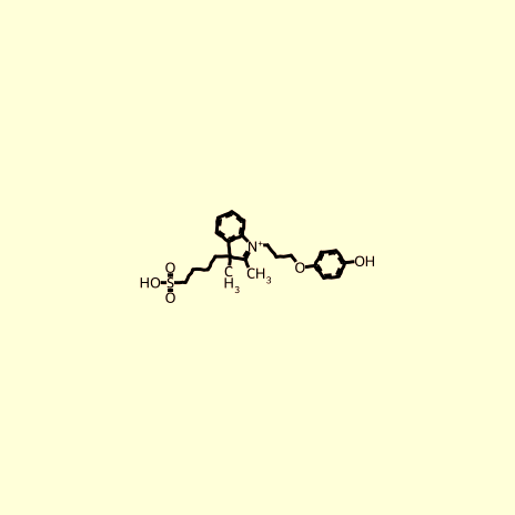 CC1=[N+](CCCOc2ccc(O)cc2)c2ccccc2C1(C)CCCCS(=O)(=O)O